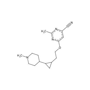 Cc1nc(C#N)cc(OCCC2CC2C2CCN(C)CC2)n1